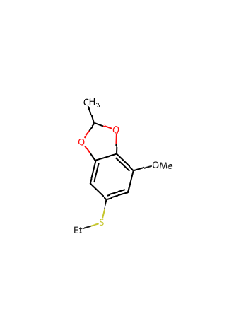 CCSc1cc(OC)c2c(c1)OC(C)O2